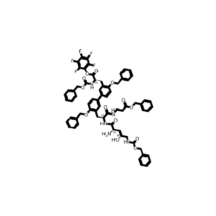 N[C@@H](C[C@@H](O)CNC(=O)OCc1ccccc1)C(=O)N[C@@H](Cc1cc(-c2ccc(OCc3ccccc3)c(C[C@H](NC(=O)OCc3ccccc3)C(=O)Oc3c(F)c(F)c(F)c(F)c3F)c2)ccc1OCc1ccccc1)C(=O)NCCC(=O)OCc1ccccc1